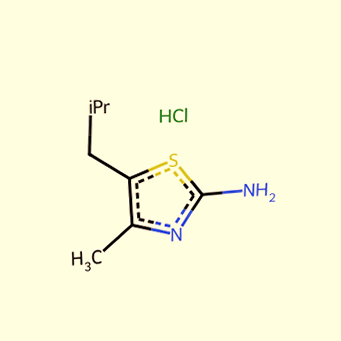 Cc1nc(N)sc1CC(C)C.Cl